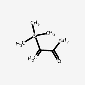 C=C(C(N)=O)[Si](C)(C)C